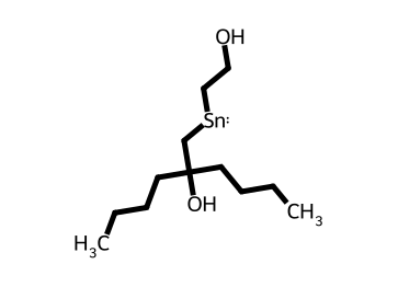 CCCCC(O)(CCCC)[CH2][Sn][CH2]CO